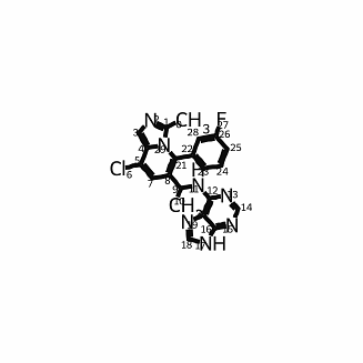 Cc1ncc2c(Cl)cc(C(C)Nc3ncnc4[nH]cnc34)c(-c3cccc(F)c3)n12